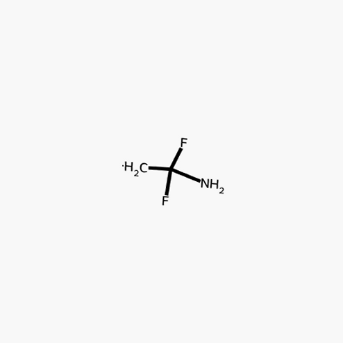 [CH2]C(N)(F)F